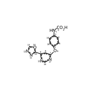 O=C(O)Nc1ccc(Oc2cc(-c3nnco3)ncn2)cc1